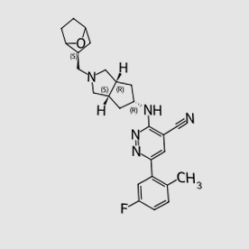 Cc1ccc(F)cc1-c1cc(C#N)c(N[C@@H]2C[C@@H]3CN(C[C@@H]4CC5CCC4O5)C[C@@H]3C2)nn1